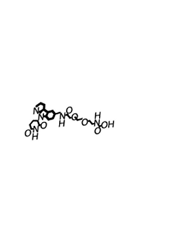 O=C(O)NCCOCCOCC(=O)NCc1ccc2c(c1)c1cccnc1n2C1CCC(=O)NC1=O